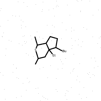 CCC(C)C1CCC2C(C)SC(C)CC12CC